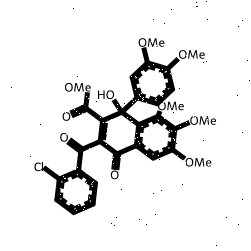 COC(=O)C1=C(C(=O)c2ccccc2Cl)C(=O)c2cc(OC)c(OC)c(OC)c2C1(O)c1ccc(OC)c(OC)c1